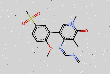 C=N/C=N\c1c(-c2cc(S(C)(=O)=O)ccc2OC)cn(C)c(=O)c1C